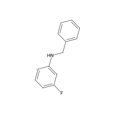 Fc1cc[c]c(NCc2ccccc2)c1